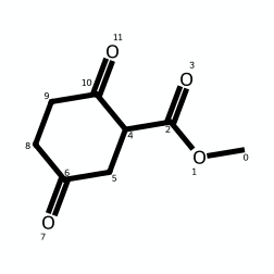 COC(=O)C1CC(=O)CCC1=O